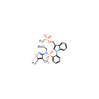 COCN(c1noc(C)c1C)S(=O)(=O)c1ccccc1-n1cc(COS(C)(=O)=O)c2ccccc21